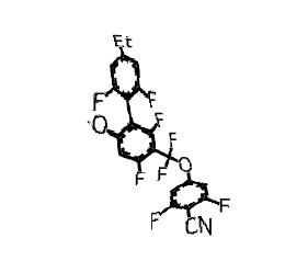 CCc1cc(F)c(-c2c([O])cc(F)c(C(F)(F)Oc3cc(F)c(C#N)c(F)c3)c2F)c(F)c1